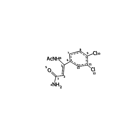 CC(=O)NC(=CC(N)=O)c1ccc(Cl)c(Cl)c1